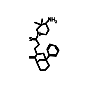 C=C1C2CCCC(c3ccccc3)(C2)CC1CCC(=S)N1CC[C@H](N)C(C)(C)C1